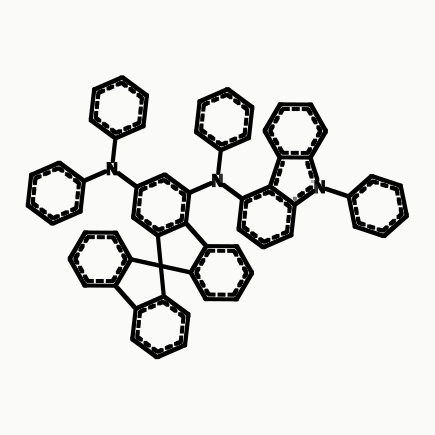 c1ccc(N(c2ccccc2)c2cc(N(c3ccccc3)c3cccc4c3c3ccccc3n4-c3ccccc3)c3c(c2)C2(c4ccccc4-c4ccccc42)c2ccccc2-3)cc1